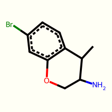 CC1c2ccc(Br)cc2OCC1N